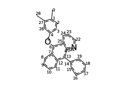 Cc1ccc(Oc2c3ccccc3c(-c3ccccc3)c3ncccc23)cc1C